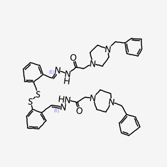 O=C(CN1CCN(Cc2ccccc2)CC1)N/N=C/c1ccccc1SSc1ccccc1/C=N/NC(=O)CN1CCN(Cc2ccccc2)CC1